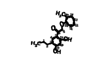 CCCc1cc(C(=O)COc2ccccc2C)c(O)cc1O